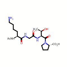 CC(=O)N[C@@H](CCCCN)C(=O)NCC(=O)N[C@H](C(=O)N1CCC[C@H]1C(=O)O)[C@@H](C)O